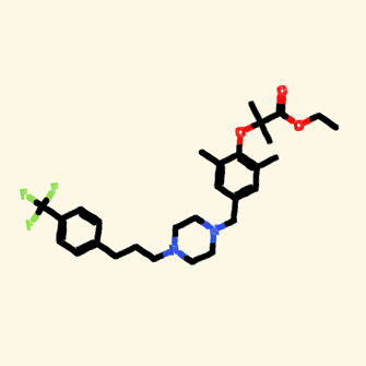 CCOC(=O)C(C)(C)Oc1c(C)cc(CN2CCN(CCCc3ccc(C(F)(F)F)cc3)CC2)cc1C